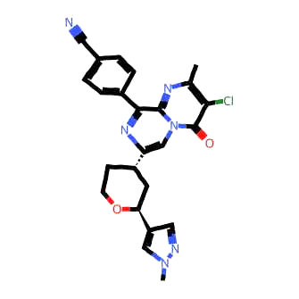 Cc1nc2c(-c3ccc(C#N)cc3)nc([C@H]3CCO[C@H](c4cnn(C)c4)C3)cn2c(=O)c1Cl